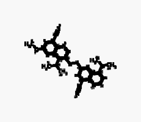 COc1cc(C#N)c2ncc(CCc3cc(C#N)c4nccc(C(C)C)c4c3)c(C(C)C)c2c1